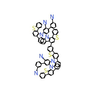 N#Cc1cccc(-c2cc(-n3c4ccccc4c4ccc5c6ccccc6sc5c43)c(-n3c4ccccc4c4ccc5c6cc(-c7cc8sc9ccccc9c8c8c7c7ccccc7n8-c7cc(-c8cccc(C#N)c8)c(C#N)cc7-n7c8ccccc8c8ccc9sc%10ccccc%10c9c87)ccc6sc5c43)cc2C#N)c1